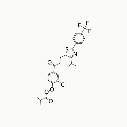 CC(C)C(=O)OOc1ccc(C(=O)CCc2sc(-c3ccc(C(F)(F)F)cc3)nc2C(C)C)cc1Cl